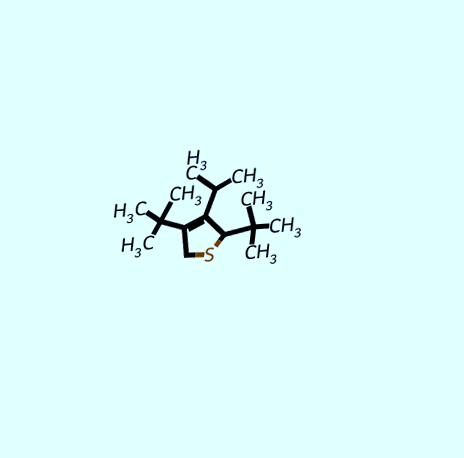 CC(C)C1=C(C(C)(C)C)CSC1C(C)(C)C